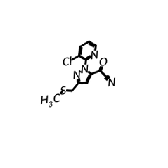 CSCc1cc(C(=O)C#N)n(-c2ncccc2Cl)n1